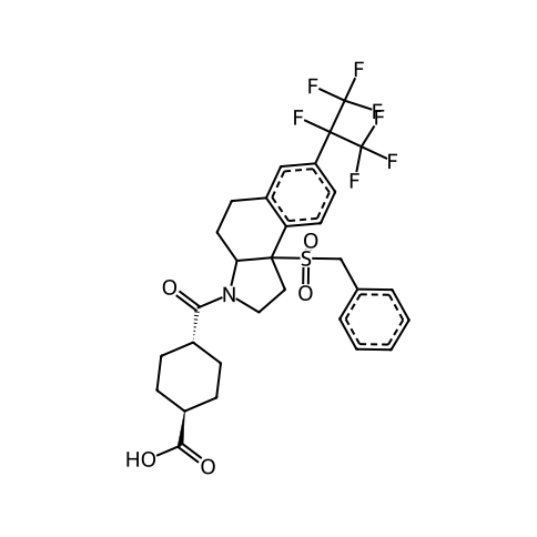 O=C(O)[C@H]1CC[C@H](C(=O)N2CCC3(S(=O)(=O)Cc4ccccc4)c4ccc(C(F)(C(F)(F)F)C(F)(F)F)cc4CCC23)CC1